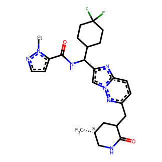 CCn1nccc1C(=O)NC(c1cn2nc(CC3C[C@@H](C(F)(F)F)CNC3=O)ccc2n1)C1CCC(F)(F)CC1